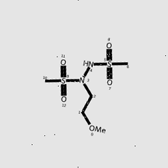 COCCN(NS(C)(=O)=O)S(C)(=O)=O